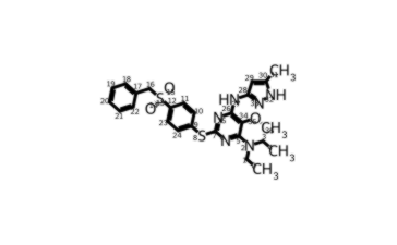 CCN(CC)c1nc(Sc2ccc(S(=O)(=O)Cc3ccccc3)cc2)nc(Nc2cc(C)[nH]n2)c1OC